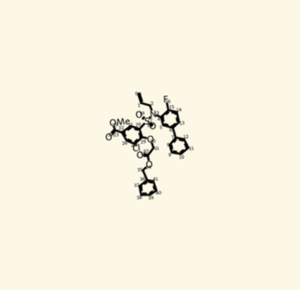 C=CCN(c1cc(-c2ccccc2)ccc1F)S(=O)(=O)c1cc(C(=O)OC)cc(Cl)c1OCC(=O)OCc1ccccc1